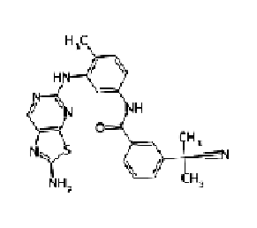 Cc1ccc(NC(=O)c2cccc(C(C)(C)C#N)c2)cc1Nc1ncc2nc(N)sc2n1